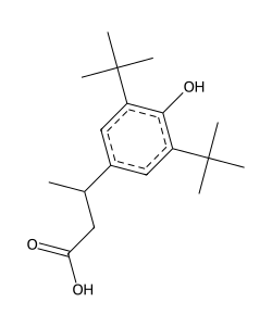 CC(CC(=O)O)c1cc(C(C)(C)C)c(O)c(C(C)(C)C)c1